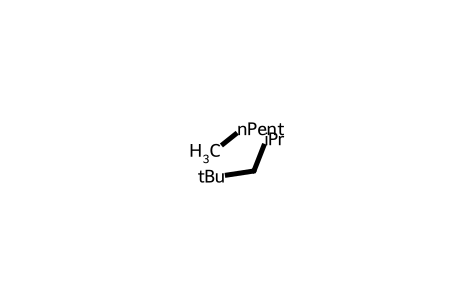 CC(C)CC(C)(C)C.CCCCCC